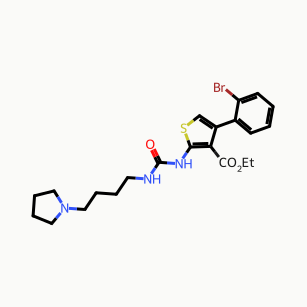 CCOC(=O)c1c(-c2ccccc2Br)csc1NC(=O)NCCCCN1CCCC1